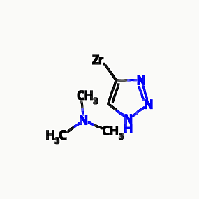 CN(C)C.[Zr][c]1c[nH]nn1